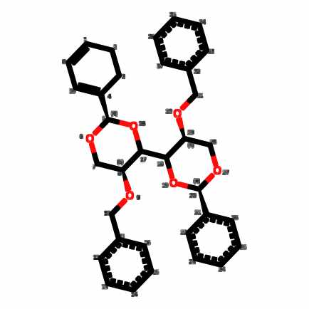 C1=CCCC([C@@H]2OC[C@H](OCc3ccccc3)C(C3O[C@H](c4ccccc4)OC[C@@H]3OCc3ccccc3)O2)=C1